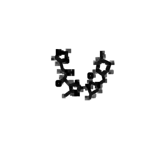 Cc1nc(N2C(=O)N(Cc3ccc(F)cc3)CC2C)sc1C(=O)NCc1cncs1